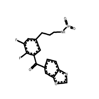 O=C(c1ccc2ncoc2c1)c1cc(CCCN[SH](=O)=O)cc(F)c1F